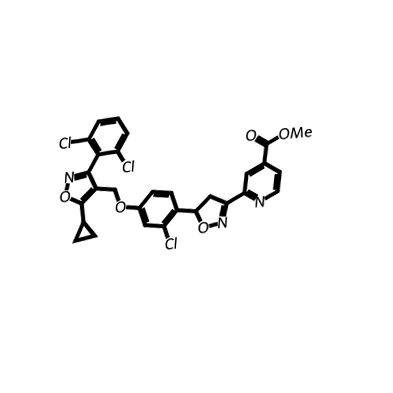 COC(=O)c1ccnc(C2=NOC(c3ccc(OCc4c(-c5c(Cl)cccc5Cl)noc4C4CC4)cc3Cl)C2)c1